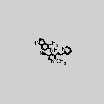 Cc1ncc(C#N)c(Nc2ccc3[nH]ccc3c2C)c1/C=C/c1ccccn1